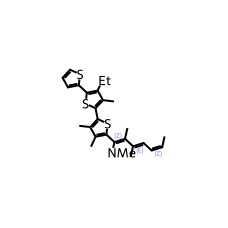 C\C=C/C=C(C)/C(C)=C(\NC)c1sc(-c2sc(-c3cccs3)c(CC)c2C)c(C)c1C